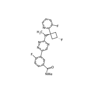 CNC(=O)c1ccc(F)c(-c2cnc(N(C)[C@]3(c4ncccc4F)C[C@@H](F)C3)nn2)c1